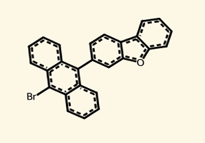 Brc1c2ccccc2c(-c2ccc3c(c2)oc2ccccc23)c2ccccc12